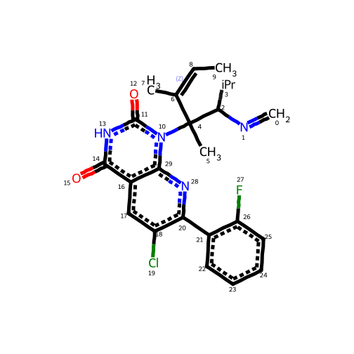 C=NC(C(C)C)C(C)(/C(C)=C\C)n1c(=O)[nH]c(=O)c2cc(Cl)c(-c3ccccc3F)nc21